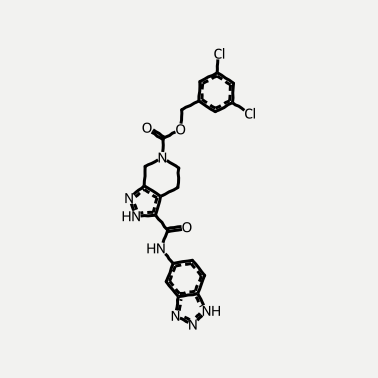 O=C(Nc1ccc2[nH]nnc2c1)c1[nH]nc2c1CCN(C(=O)OCc1cc(Cl)cc(Cl)c1)C2